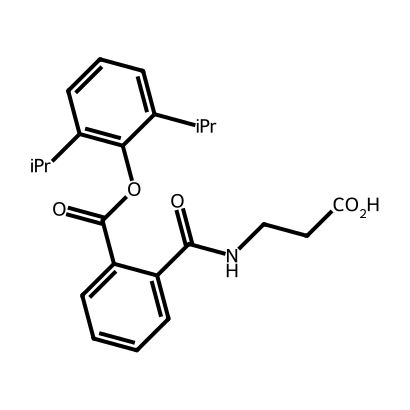 CC(C)c1cccc(C(C)C)c1OC(=O)c1ccccc1C(=O)NCCC(=O)O